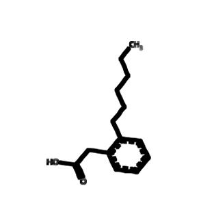 CCCCCCc1ccccc1CC(=O)O